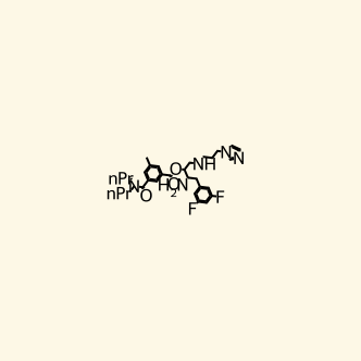 CCCN(CCC)C(=O)c1cc(C)cc(C(=O)OC(CNCCCn2ccnc2)C(N)Cc2cc(F)cc(F)c2)c1